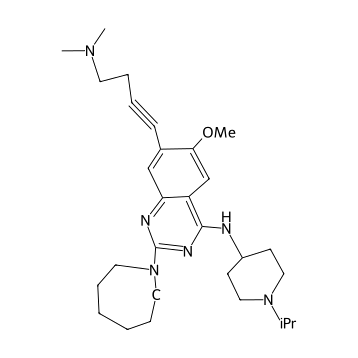 COc1cc2c(NC3CCN(C(C)C)CC3)nc(N3CCCCCC3)nc2cc1C#CCCN(C)C